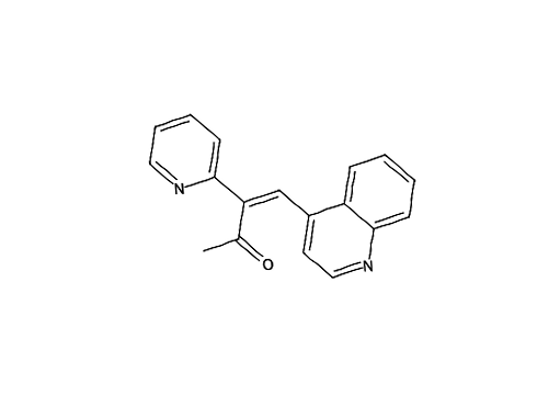 CC(=O)/C(=C\c1ccnc2ccccc12)c1ccccn1